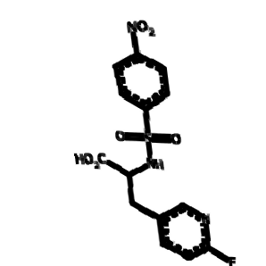 O=C(O)C(Cc1ccc(F)nc1)NS(=O)(=O)c1ccc([N+](=O)[O-])cc1